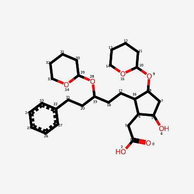 O=C(O)CC1C(O)CC(OC2CCCCO2)C1CCC(CCc1ccccc1)OC1CCCCO1